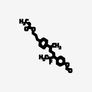 C=CC(=O)OCCCc1ccc(/C(C)=C/C=C(/c2ccc(OC=O)cc2)C(C)F)cc1